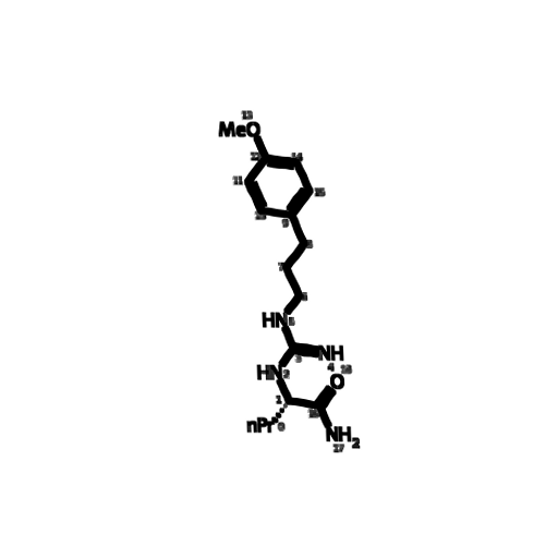 CCC[C@H](NC(=N)NCCCc1ccc(OC)cc1)C(N)=O